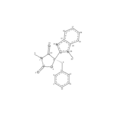 CN1C(=O)O[C@](Cc2ccccc2)(c2nc3ccccc3n2C)C1=O